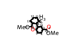 COC(=O)c1cccc(-c2c(C)cccc2C(=O)OC)c1